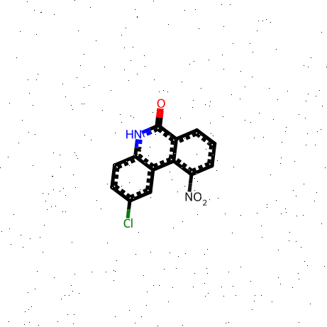 O=c1[nH]c2ccc(Cl)cc2c2c([N+](=O)[O-])cccc12